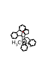 C[Si](C)=[Ti]([CH2]c1ccccc1)([CH2]c1ccccc1)([C]1=CC=CC1)[CH]1c2ccccc2-c2ccccc21